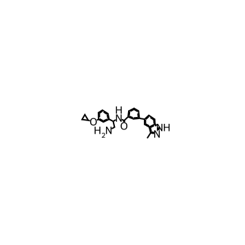 Cc1n[nH]c2ccc(-c3cccc(C(=O)NC(CN)c4cccc(OC5CC5)c4)c3)cc12